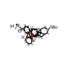 CCCCN1CC2CC(COC3(c4cccc(C(N)=O)c4)C4CCCC3CN(C)C4)CC(C1)C2(OC)c1cccc(C(N)=O)c1